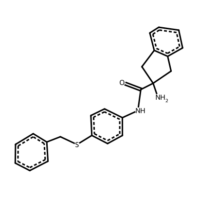 NC1(C(=O)Nc2ccc(SCc3ccccc3)cc2)Cc2ccccc2C1